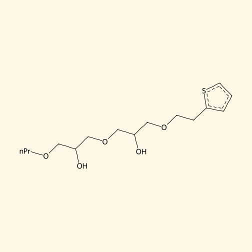 CCCOCC(O)COCC(O)COCCc1cccs1